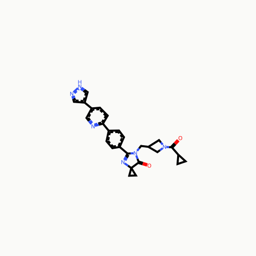 O=C(C1CC1)N1CC(CN2C(=O)C3(CC3)N=C2c2ccc(-c3ccc(-c4cn[nH]c4)cn3)cc2)C1